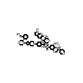 CC(C)Oc1ccccc1[C@@H]1COCCN1C1CC2(CCN(c3ccc(C(=O)NS(=O)(=O)c4cc5c(c([N+](=O)[O-])c4)N[C@@H](C4(F)CCOCC4)CO5)c(N4c5cc6cc[nH]c6nc5O[C@H]5COCC[C@@H]54)c3)CC2)C1